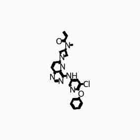 C=CC(=O)N(C)C1CN(c2ccc3ncnc(Nc4cnc(Oc5ccccc5)c(Cl)c4)c3n2)C1